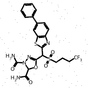 NC(=O)C1OC(C(c2nc3ccc(-c4ccccc4)cc3s2)S(=O)(=O)CCCC(F)(F)F)=NN1C(N)=O